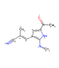 C=Nc1[nH]c(C(C)=O)cc1/C=C(\C)C#N